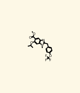 COC(=O)c1cc2nc(Cc3ccc(OC(F)(F)F)cc3)n(C)c2cc1OC(C)C